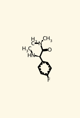 CN[C@@H](C(=O)N(C)C)c1ccc(F)cc1